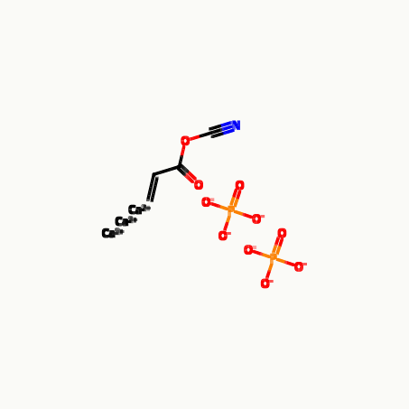 C=CC(=O)OC#N.O=P([O-])([O-])[O-].O=P([O-])([O-])[O-].[Ca+2].[Ca+2].[Ca+2]